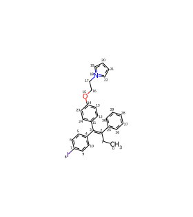 CC/C(=C(\c1ccc(I)cc1)c1ccc(OCCn2cccc2)cc1)c1ccccc1